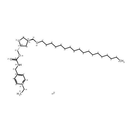 CCCCCCCCCCCCCCCCCCOC[C@@H]1CO[C@@H](COC(=O)NCc2cc[n+](CC)cc2)C1.[I-]